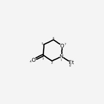 CCN1CC(=O)CCO1